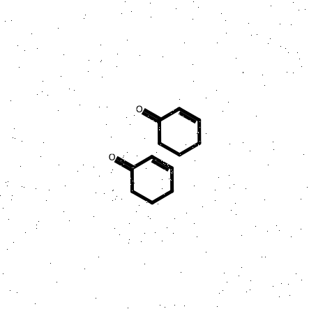 O=C1C=CCCC1.O=C1C=CCCC1